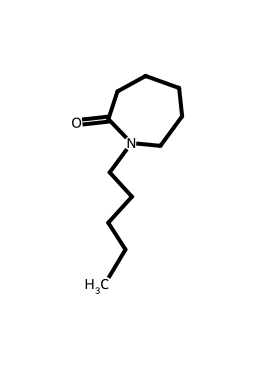 CCCCCN1CCCCCC1=O